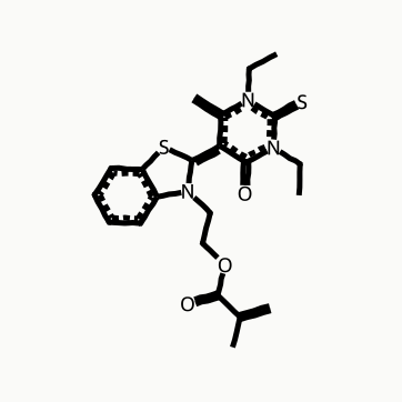 C=C(C)C(=O)OCCN1/C(=c2/c(=C)n(CC)c(=S)n(CC)c2=O)Sc2ccccc21